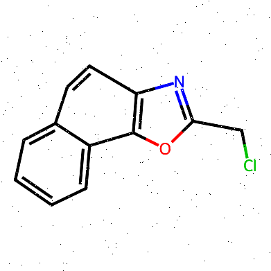 ClCc1nc2ccc3ccccc3c2o1